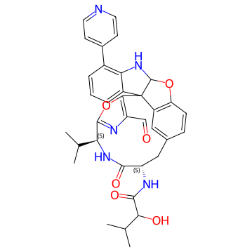 CC(C)C(O)C(=O)N[C@H]1Cc2ccc3c(c2)C2(c4cccc(-c5ccncc5)c4NC2O3)c2oc(nc2C=O)[C@H](C(C)C)NC1=O